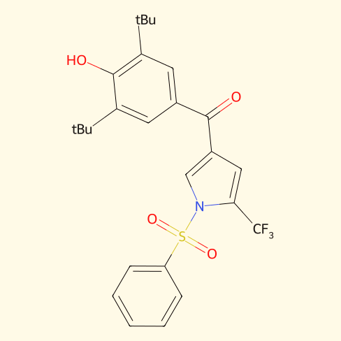 CC(C)(C)c1cc(C(=O)c2cc(C(F)(F)F)n(S(=O)(=O)c3ccccc3)c2)cc(C(C)(C)C)c1O